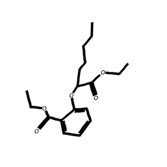 CCCCCC(Oc1ccccc1C(=O)OCC)C(=O)OCC